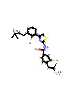 COC(C)(C)CCc1cccc(-c2csc(NC(=O)c3cc(F)c(/C=C(\C)C(=O)O)c(F)c3)n2)c1F